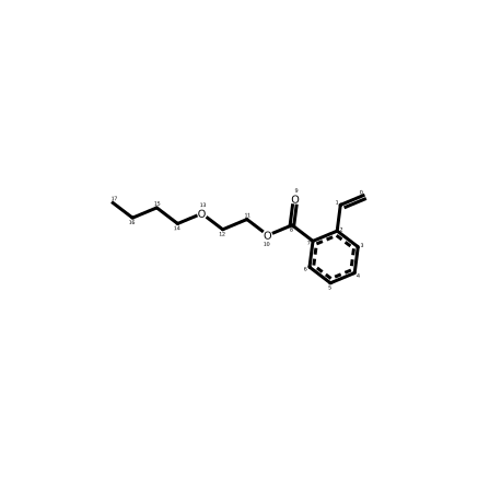 C=Cc1ccccc1C(=O)OCCOCCCC